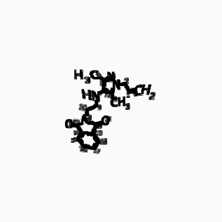 C=CCn1nc(C)c(NCCN2C(=O)c3ccccc3C2=O)c1C